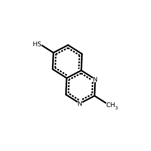 Cc1ncc2cc(S)ccc2n1